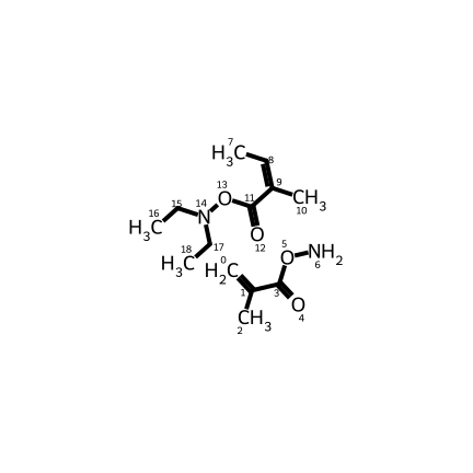 C=C(C)C(=O)ON.CC=C(C)C(=O)ON(CC)CC